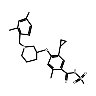 Cc1ccc(CN2CCCC(Oc3cc(F)c(C(=O)NS(C)(=O)=O)cc3C3CC3)C2)c(C)c1